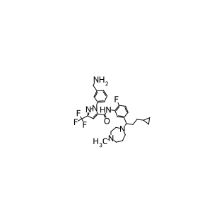 CN1CCCN(C(CCC2CC2)c2ccc(F)c(NC(=O)c3cc(C(F)(F)F)nn3-c3cccc(CN)c3)c2)CC1